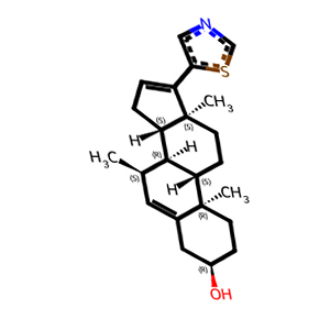 C[C@@H]1C=C2C[C@H](O)CC[C@]2(C)[C@H]2CC[C@]3(C)C(c4cncs4)=CC[C@H]3[C@H]12